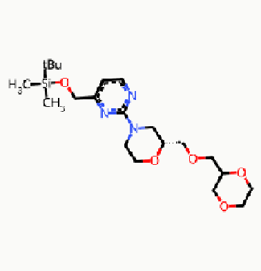 CC(C)(C)[Si](C)(C)OCc1ccnc(N2CCO[C@@H](COCC3COCCO3)C2)n1